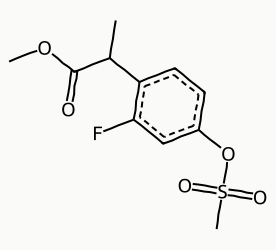 COC(=O)C(C)c1ccc(OS(C)(=O)=O)cc1F